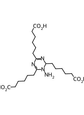 NN1C(CCCCCC(=O)O)=NC(CCCCCC(=O)O)=NC1CCCCCC(=O)O